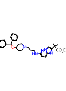 CCOC(=O)C(C)(C)c1cn2nc(NCCCN3CCC(OC(c4ccccc4)c4ccccc4)CC3)ccc2n1